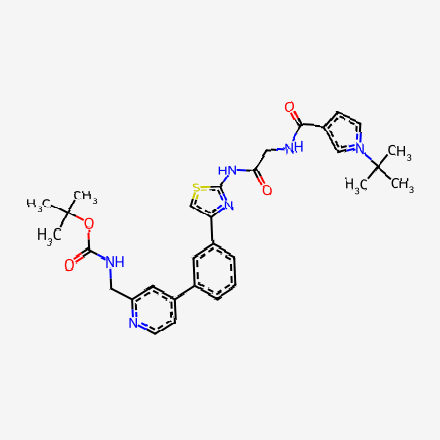 CC(C)(C)OC(=O)NCc1cc(-c2cccc(-c3csc(NC(=O)CNC(=O)c4ccn(C(C)(C)C)c4)n3)c2)ccn1